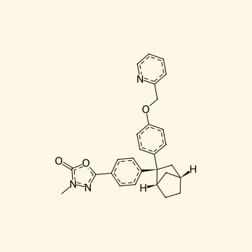 Cn1nc(-c2ccc([C@@]3(c4ccc(OCc5ccccn5)cc4)C[C@@H]4CC[C@H]3C4)cc2)oc1=O